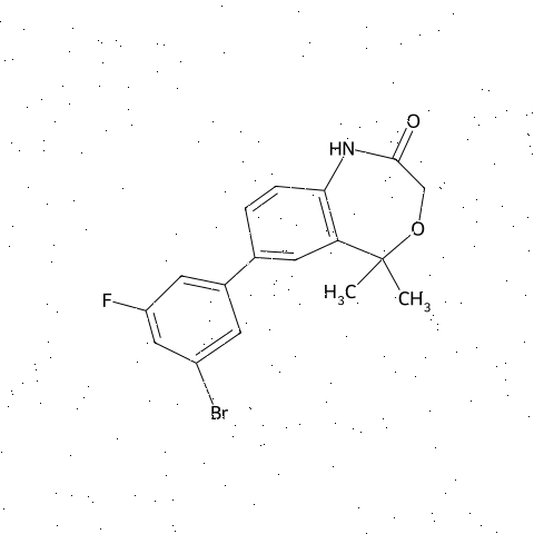 CC1(C)OCC(=O)Nc2ccc(-c3cc(F)cc(Br)c3)cc21